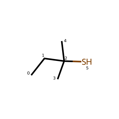 CCC(C)(C)S